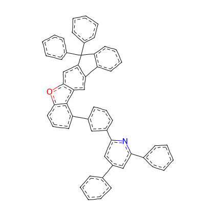 c1ccc(-c2cc(-c3ccccc3)nc(-c3cccc(-c4cccc5oc6cc7c(cc6c45)-c4ccccc4C7(c4ccccc4)c4ccccc4)c3)c2)cc1